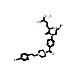 CC(C)OCCN(C(=O)C(S)CCC(N)C(=O)O)c1ccc(C(=O)N2CCN(CCc3ccc(Cl)cc3)CC2)cc1